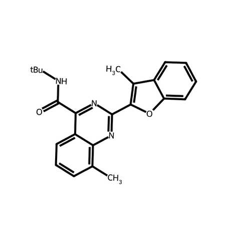 Cc1c(-c2nc(C(=O)NC(C)(C)C)c3cccc(C)c3n2)oc2ccccc12